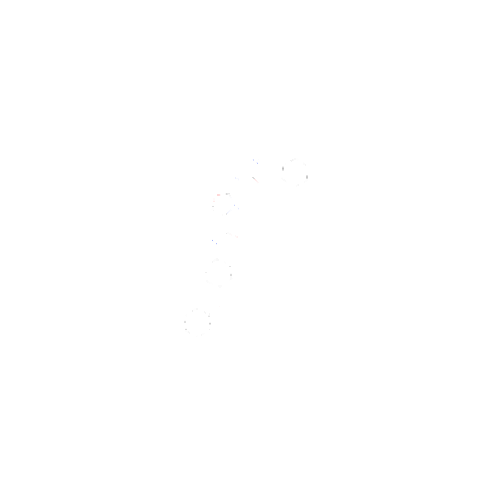 O=C(Nc1ccc(Oc2ccccc2)cc1)c1coc(N2CCN(Cc3ccccc3)C2=O)n1